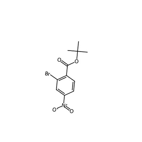 CC(C)(C)OC(=O)c1ccc([N+](=O)[O-])cc1Br